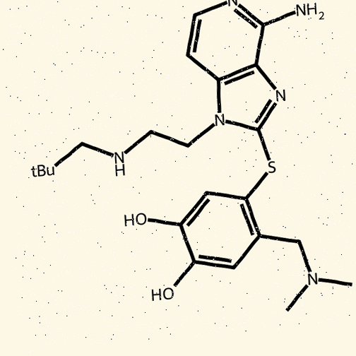 CN(C)Cc1cc(O)c(O)cc1Sc1nc2c(N)nccc2n1CCNCC(C)(C)C